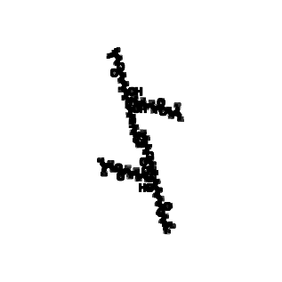 CC(C)CCOC(=O)CCCCC(O)CN(CCCSSCCN1CCN(CCOC(=O)CCCN(CC(O)CCCCC(=O)OCCC(C)C)CC(O)CCCCC(=O)OCCC(C)C)CC1)CC(O)CCCCC(=O)OCCC(C)C